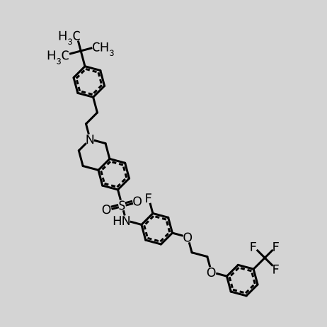 CC(C)(C)c1ccc(CCN2CCc3cc(S(=O)(=O)Nc4ccc(OCCOc5cccc(C(F)(F)F)c5)cc4F)ccc3C2)cc1